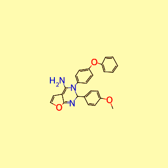 COc1ccc(C2N=c3occc3=C(N)N2c2ccc(Oc3ccccc3)cc2)cc1